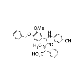 COc1cc([C@H](Nc2ccc(C#N)cc2)C(=O)N(C)C(C(=O)O)c2ccccc2)ccc1OCc1ccccc1